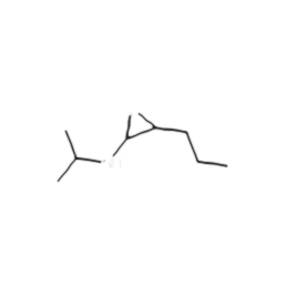 CCCC1OC1NC(C)C